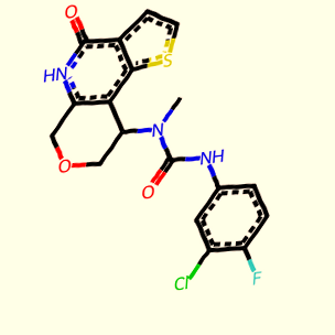 CN(C(=O)Nc1ccc(F)c(Cl)c1)C1COCc2[nH]c(=O)c3ccsc3c21